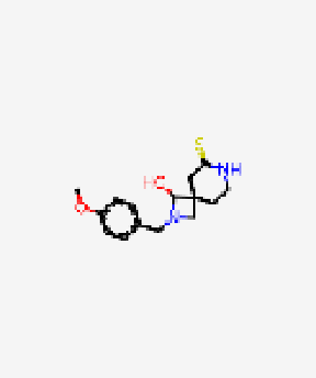 COc1ccc(CN2CC3(CCNC(=S)C3)C2O)cc1